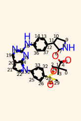 CC(C)(C)C(=O)OC1NCCC1c1ccc(Nc2ncc3ccn(-c4ccc(S(C)(=O)=O)cc4)c3n2)cc1